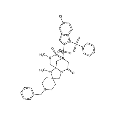 CN1C2(CCN(Cc3ccccc3)CC2)CN2C(=O)CN(S(=O)(=O)c3cc4cc(Cl)ccc4n3S(=O)(=O)c3ccccc3)CC21CN(C)S(C)(=O)=O